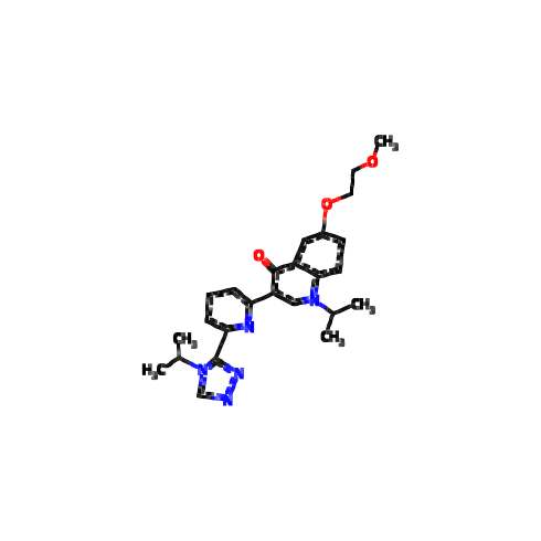 COCCOc1ccc2c(c1)c(=O)c(-c1cccc(-c3nncn3C(C)C)n1)cn2C(C)C